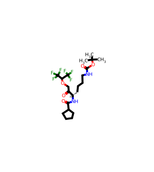 CC(C)(C)OC(=O)NCCCC[C@H](NC(=O)C1CCCC1)C(=O)COC(C(F)(F)F)C(F)(F)F